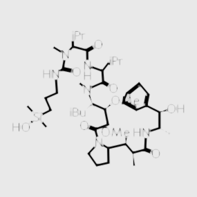 CC[C@@H](C)[C@H]([C@H](CC(=O)N1CCCC1[C@@H](OC)[C@H](C)C(=O)N[C@@H](C)[C@H](O)c1ccccc1)OC)N(C)C(=O)C(NC(=O)C(C(C)C)N(C)C(=O)NCCC[Si](C)(C)O)C(C)C